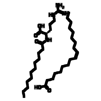 CCCCCCCC/C=C\CCCCCCCC(=O)O.CCCCCCCCCCCC(=O)N[C@@H](CCCNC(=N)N)C(=O)O